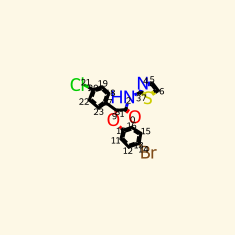 O=C(Nc1nccs1)C(Oc1ccc(Br)cc1)c1ccc(Cl)cc1